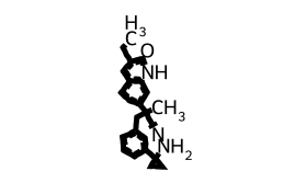 CCc1cc2ccc(C(C)(C#N)Cc3cccc(C4(N)CC4)c3)cc2[nH]c1=O